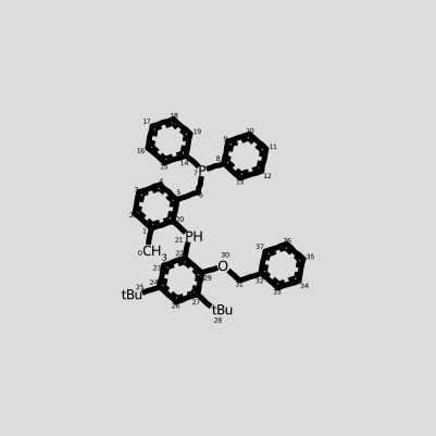 Cc1cccc(CP(c2ccccc2)c2ccccc2)c1Pc1cc(C(C)(C)C)cc(C(C)(C)C)c1OCc1ccccc1